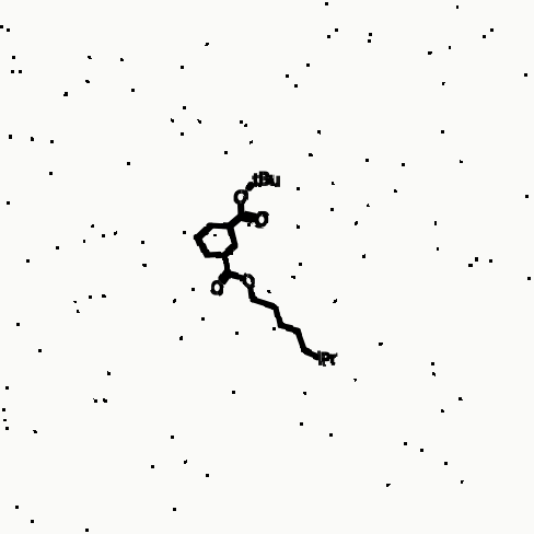 CC(C)CCCCCOC(=O)C1CCCC(C(=O)OC(C)(C)C)C1